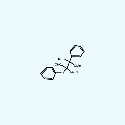 COC(C(=O)O)(c1ccccc1)C(C=O)(Oc1ccccc1)C(=O)O